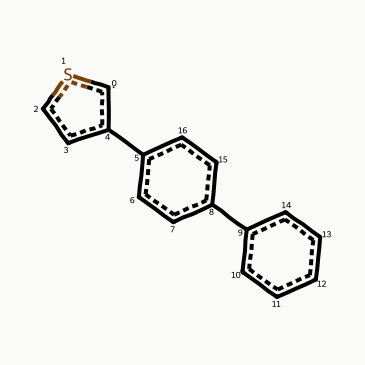 [c]1sccc1-c1ccc(-c2ccccc2)cc1